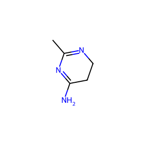 CC1=NCCC(N)=N1